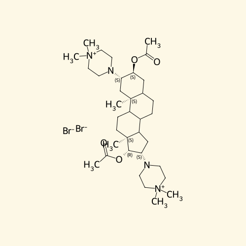 CC(=O)O[C@H]1CC2CCC3C(CC[C@@]4(C)C3C[C@H](N3CC[N+](C)(C)CC3)[C@@H]4OC(C)=O)[C@@]2(C)C[C@@H]1N1CC[N+](C)(C)CC1.[Br-].[Br-]